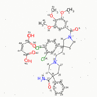 COc1cc(C(=O)N2CCC(CCN3CCC(C(N)=O)(c4ccccc4)CC3)(c3ccc(Cl)c(Cl)c3)C2)cc(OC)c1OC.O=C(O)/C=C\C(=O)O